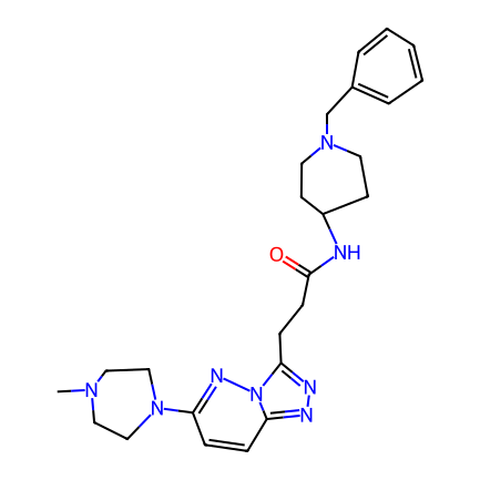 CN1CCN(c2ccc3nnc(CCC(=O)NC4CCN(Cc5ccccc5)CC4)n3n2)CC1